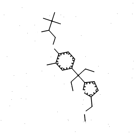 CCC(CC)(c1ccc(OCC(O)C(C)(C)C)c(C)c1)c1ccc(CSC)s1